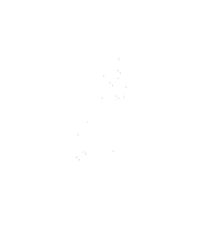 CC(/N=C(\N=C(/N)c1cccc(-c2ccc(-c3c(-c4ccccc4)n4ncc(C5=CC=CCC5)c4c4ccccc34)cc2)c1)c1ccccc1)c1cccc(C2=CCCCC2)c1